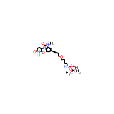 Cn1c(=O)n(C2CCC(=O)NC2=O)c2ccc(C#CCCOCCCCNC(=O)OC(C)(C)C)cc21